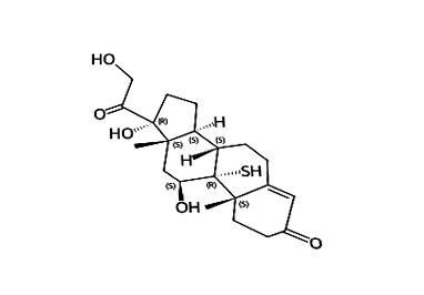 C[C@]12CCC(=O)C=C1CC[C@H]1[C@@H]3CC[C@](O)(C(=O)CO)[C@@]3(C)C[C@H](O)[C@@]12S